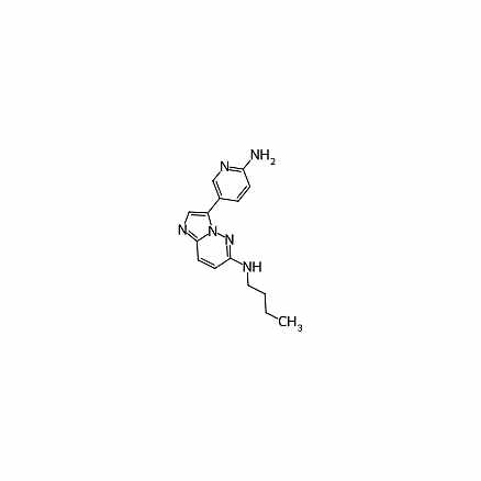 CCCCNc1ccc2ncc(-c3ccc(N)nc3)n2n1